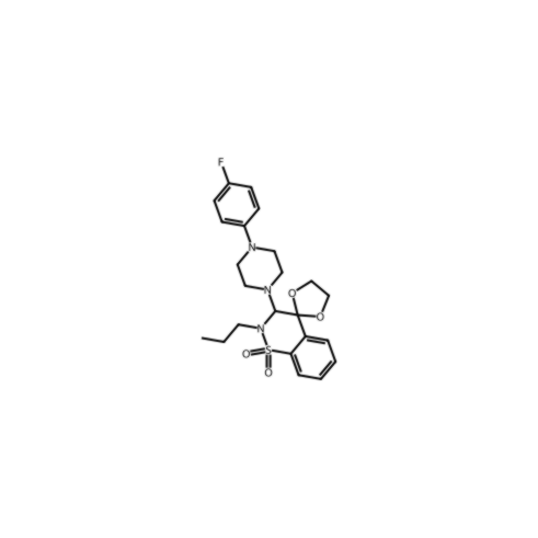 CCCN1C(N2CCN(c3ccc(F)cc3)CC2)C2(OCCO2)c2ccccc2S1(=O)=O